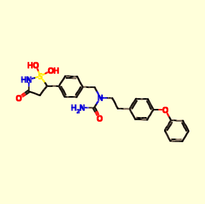 NC(=O)N(CCc1ccc(Oc2ccccc2)cc1)Cc1ccc(C2CC(=O)NS2(O)O)cc1